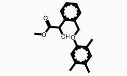 COC(=O)C(O)c1ccccc1COc1cc(C)c(C)cc1C